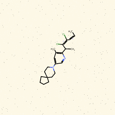 C/C=C\C(Cl)=C(\Cl)C(C)c1ncc(N2CCC3(CCCC3)CC2)cc1C